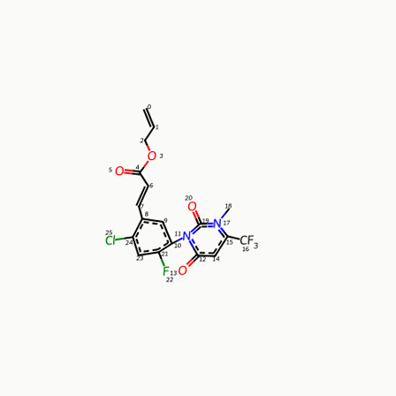 C=CCOC(=O)/C=C/c1cc(-n2c(=O)cc(C(F)(F)F)n(C)c2=O)c(F)cc1Cl